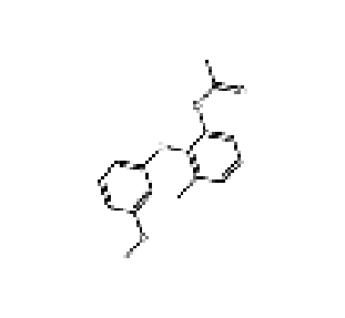 COc1cccc(Oc2c(C)cccc2OC(C)=O)c1